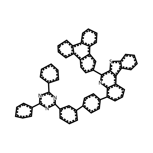 c1ccc(-c2nc(-c3ccccc3)nc(-c3cccc(-c4ccc(-c5cccc6c5nc(-c5ccc7c8ccccc8c8ccccc8c7c5)c5sc7ccccc7c56)cc4)c3)n2)cc1